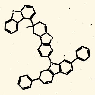 CC1(C2=CC=CC3Sc4ccccc4C23)CC=C2Sc3cc(-n4c5c(c6ccc(-c7ccccc7)cc64)C=CC(c4ccccc4)C5)ccc3C2C1